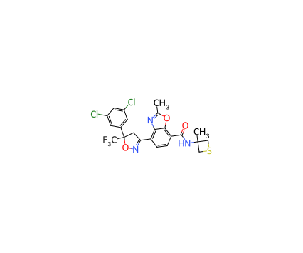 Cc1nc2c(C3=NOC(c4cc(Cl)cc(Cl)c4)(C(F)(F)F)C3)ccc(C(=O)NC3(C)CSC3)c2o1